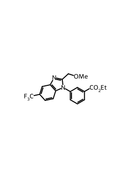 CCOC(=O)c1cccc(-n2c(COC)nc3cc(C(F)(F)F)ccc32)c1